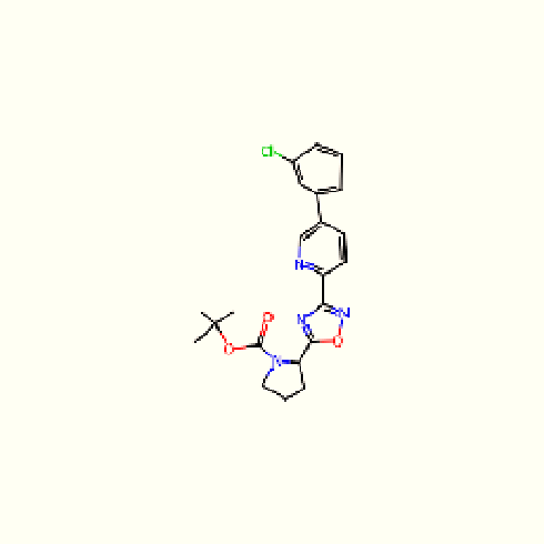 CC(C)(C)OC(=O)N1CCCC1c1nc(-c2ccc(-c3cccc(Cl)c3)cn2)no1